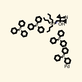 CCC[CH2][Sn](/[CH]=C/C(O)(C1CC1)C1(C#N)CC1)([CH2]CCC)[CH2]CCC.[Pd].c1ccc(P(c2ccccc2)c2ccccc2)cc1.c1ccc(P(c2ccccc2)c2ccccc2)cc1.c1ccc(P(c2ccccc2)c2ccccc2)cc1.c1ccc(P(c2ccccc2)c2ccccc2)cc1